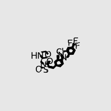 O=C1SC(=Cc2ccc3c(cnn3Cc3ccc(C(F)(F)F)cc3Cl)c2)C(=O)N1C[C@@H]1COCCN1